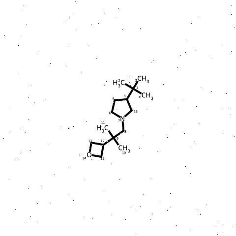 CC(C)(C)C1CCN(CC(C)(C)C2COC2)C1